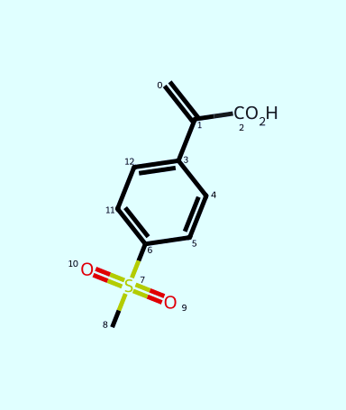 C=C(C(=O)O)c1ccc(S(C)(=O)=O)cc1